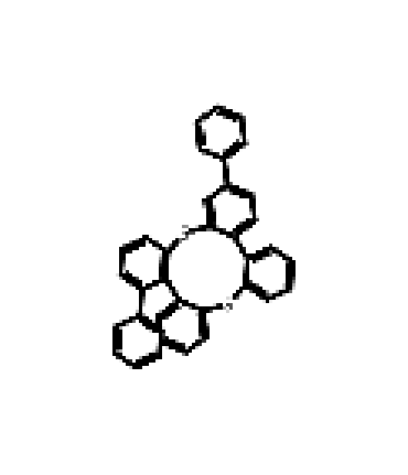 c1ccc(-c2ccc3c(c2)Sc2cccc(-c4ccccc4)c2-c2ccccc2Sc2ccccc2-3)cc1